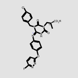 C[C@@H](Cn1c(=O)[nH]/c(=N\c2ccc(Oc3ccc(F)nn3)cc2)n(Cc2ccc(Cl)cc2)c1=O)C(=O)O